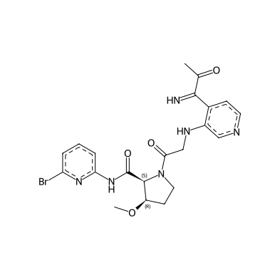 CO[C@@H]1CCN(C(=O)CNc2cnccc2C(=N)C(C)=O)[C@@H]1C(=O)Nc1cccc(Br)n1